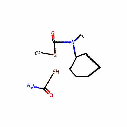 CCSC(=O)N(CC)C1CCCCC1.NC(=O)S